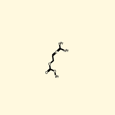 CCCC(=C=CCOC(=O)OC(C)C)CCC